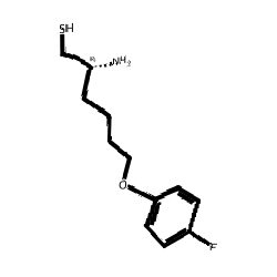 N[C@@H](CS)CCCCOc1ccc(F)cc1